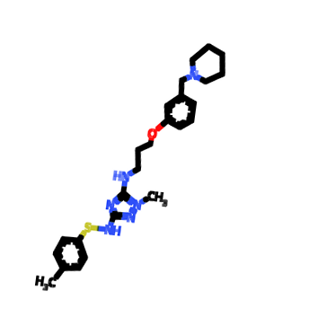 Cc1ccc(SNc2nc(NCCCOc3cccc(CN4CCCCC4)c3)n(C)n2)cc1